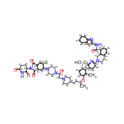 Cc1c(O[C@@H](C)CCC2CCN(CC(=O)N3CCN(c4cc5c(cc4F)C(=O)N(C4CCC(=O)NC4=O)C5=O)CC3)CC2)cccc1-c1ccc(N2CCc3cccc(C(=O)Nc4nc5ccccc5s4)c3C2)nc1C(=O)O